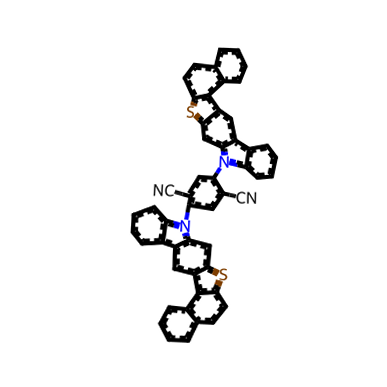 N#Cc1cc(-n2c3ccccc3c3cc4c(cc32)sc2ccc3ccccc3c24)c(C#N)cc1-n1c2ccccc2c2cc3c(cc21)sc1ccc2ccccc2c13